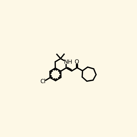 CC1(C)Cc2cc(Cl)ccc2/C(=C/C(=O)C2CCCCCC2)N1